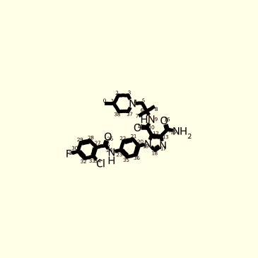 CC1CCN(CC(C)(C)NC(=O)c2c(C(N)=O)ncn2-c2ccc(NC(=O)c3ccc(F)cc3Cl)cc2)CC1